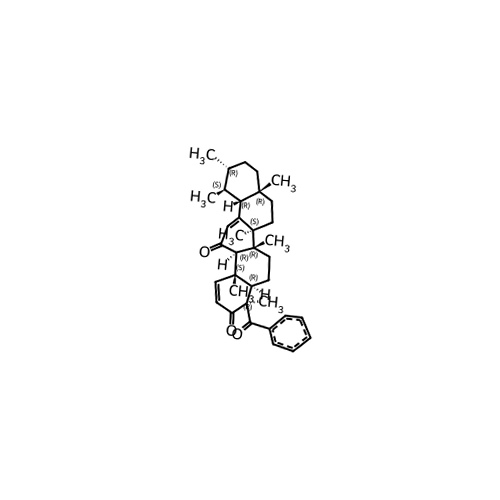 C[C@H]1[C@H](C)CC[C@]2(C)CC[C@]3(C)C(=CC(=O)[C@@H]4[C@@]5(C)C=CC(=O)[C@](C)(C(=O)c6ccccc6)[C@@H]5CC[C@]43C)[C@H]12